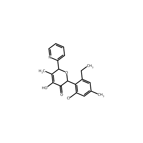 CCc1cc(C)cc(Cl)c1C1OC(c2ccccn2)C(C)=C(O)C1=O